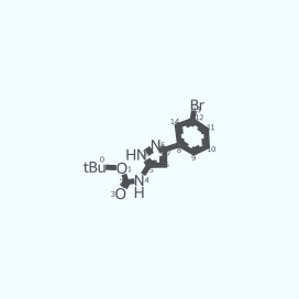 CC(C)(C)OC(=O)Nc1cc(-c2cccc(Br)c2)n[nH]1